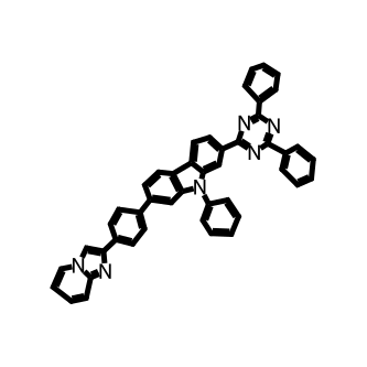 c1ccc(-c2nc(-c3ccccc3)nc(-c3ccc4c5ccc(-c6ccc(-c7cn8ccccc8n7)cc6)cc5n(-c5ccccc5)c4c3)n2)cc1